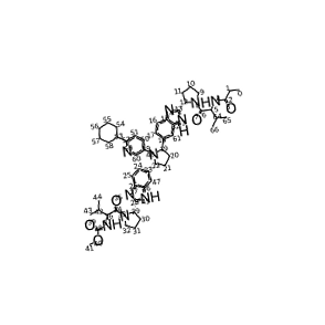 CCC(=O)N[C@H](C(=O)N1CCC[C@H]1c1nc2ccc([C@H]3CC[C@H](c4ccc5nc([C@@H]6CCCN6C(=O)[C@@H](NC(=O)OC)C(C)C)[nH]c5c4)N3c3ccc(C4CCCCC4)nc3)cc2[nH]1)C(C)C